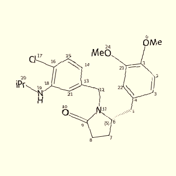 COc1ccc(C[C@@H]2CCC(=O)N2Cc2ccc(Cl)c(NC(C)C)c2)cc1OC